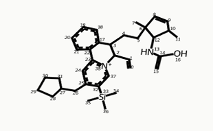 C=CC1C(CCC2(C)C=CC(C)C2NC(=C)O)c2ccccc2-c2cc(CC3CCCC3)c([Si](C)(C)C)c[n+]21